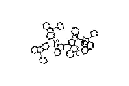 O=P1(c2cccc(-c3cc4c5ccccc5n(-c5nc(-c6ccccc6)c6ccccc6n5)c4c4c3-c3ccccc3P(=O)(c3ccccc3)N4c3ccccc3)c2)c2cc3c(cc2-c2cc4c5ccccc5n(-c5ccccc5)c4cc2N1c1ccccc1)c1ccccc1n3-c1ccccc1